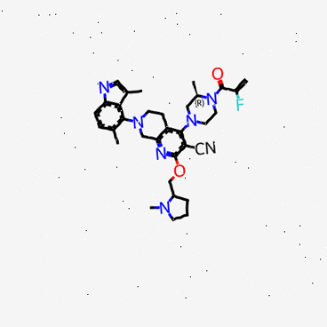 C=C(F)C(=O)N1CCN(c2c(C#N)c(OCC3CCCN3C)nc3c2CCN(c2c(C)ccc4c2C(C)=C=N4)C3)C[C@H]1C